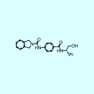 CC(C)[C@H](CO)NC(=O)c1ccc(NC(=O)N2Cc3ccccc3C2)cc1